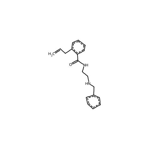 C=CCc1ccccc1C(=O)NCCNCc1ccccc1